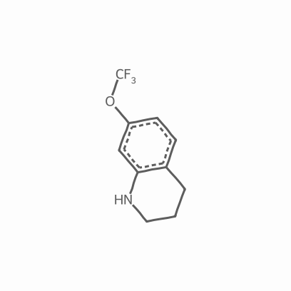 FC(F)(F)Oc1ccc2c(c1)NCCC2